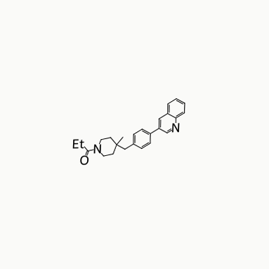 CCC(=O)N1CCC(C)(Cc2ccc(-c3cnc4ccccc4c3)cc2)CC1